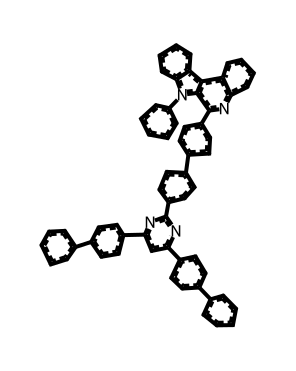 c1ccc(-c2ccc(-c3cc(-c4ccc(-c5ccccc5)cc4)nc(-c4ccc(-c5ccc(-c6nc7ccccc7c7c8ccccc8n(-c8ccccc8)c67)cc5)cc4)n3)cc2)cc1